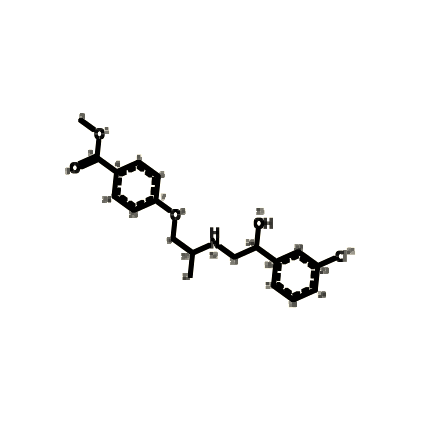 COC(=O)c1ccc(OCC(C)NCC(O)c2cccc(Cl)c2)cc1